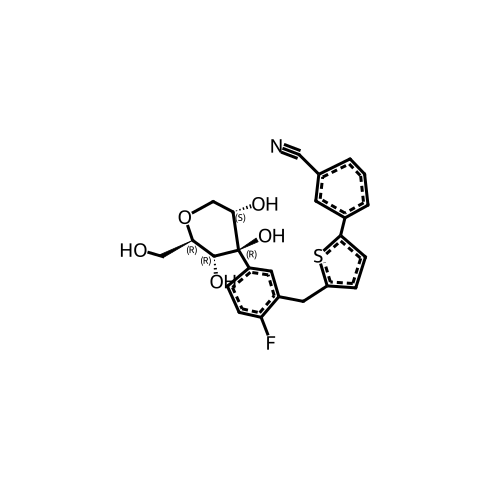 N#Cc1cccc(-c2ccc(Cc3cc([C@]4(O)[C@H](O)[C@@H](CO)OC[C@@H]4O)ccc3F)s2)c1